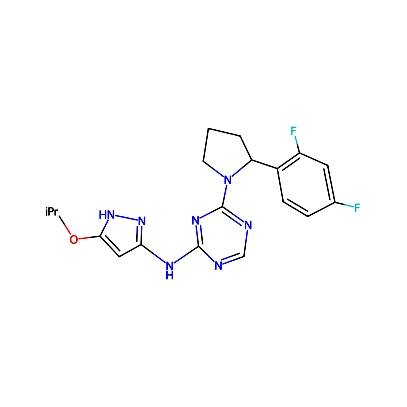 CC(C)Oc1cc(Nc2ncnc(N3CCCC3c3ccc(F)cc3F)n2)n[nH]1